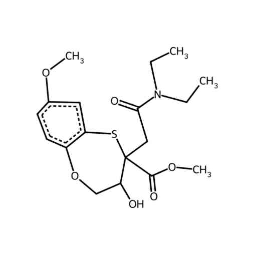 CCN(CC)C(=O)CC1(C(=O)OC)Sc2cc(OC)ccc2OCC1O